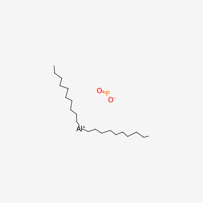 CCCCCCCCC[CH2][Al+][CH2]CCCCCCCCC.O=P[O-]